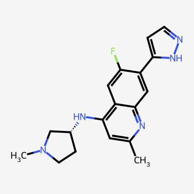 Cc1cc(N[C@@H]2CCN(C)C2)c2cc(F)c(-c3ccn[nH]3)cc2n1